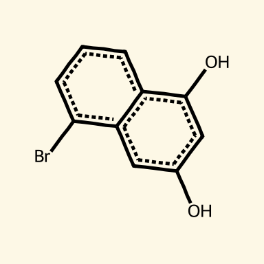 Oc1cc(O)c2cccc(Br)c2c1